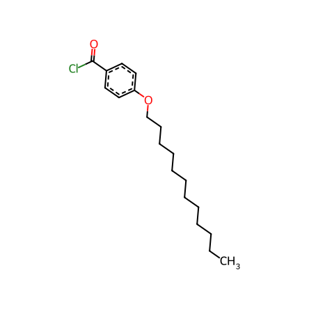 CCCCCCCCCCCCOc1ccc(C(=O)Cl)cc1